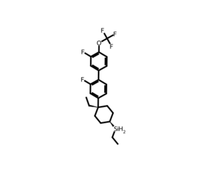 CC[SiH2][C@H]1CC[C@](CC)(c2ccc(-c3ccc(OC(F)(F)F)c(F)c3)c(F)c2)CC1